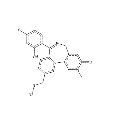 CCSCc1ccc2c(c1)-c1cn(C)c(=O)cc1CN=C2c1ccc(F)cc1O